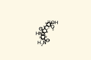 COc1cc(/C=C2\CCc3c([nH]c4ccc(C(N)=O)cc34)C2=O)ccc1O